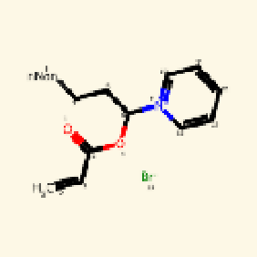 C=CC(=O)OC(CCCCCCCCCCC)[n+]1ccccc1.[Br-]